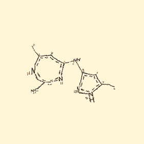 Cc1cc(Nc2cc(C)[nH]n2)nc(C#N)n1